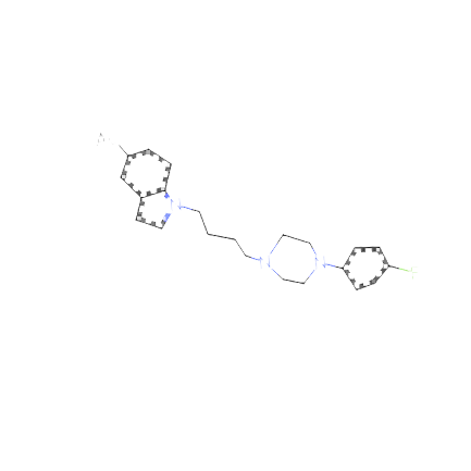 CC(=O)c1ccc2c(ccn2CCCCN2CCN(c3ccc(F)cc3)CC2)c1